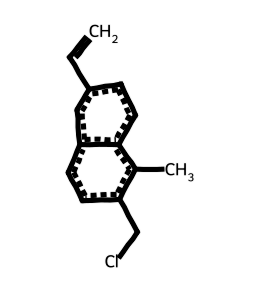 C=Cc1ccc2c(C)c(CCl)ccc2c1